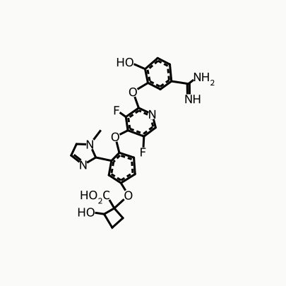 CN1CC=NC1c1cc(OC2(C(=O)O)CCC2O)ccc1Oc1c(F)cnc(Oc2cc(C(=N)N)ccc2O)c1F